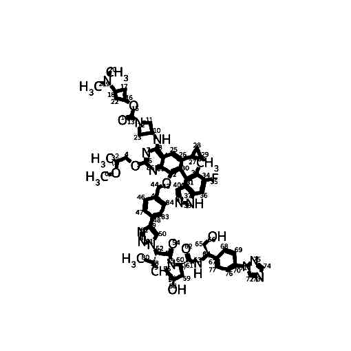 CO[C@@H](C)COc1nc(NC2CN(C(=O)OC3CC(N(C)C)C3)C2)c2cc(C3CC3)c(-c3c(C)c(F)cc4[nH]ncc34)c(OCc3ccc(-c4cn([C@H](C(=O)N5C[C@H](O)C[C@H]5C(=O)N[C@@H](CO)c5ccc(-n6cncn6)cc5)C(C)C)nn4)cc3)c2n1